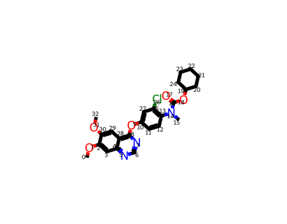 COc1cc2ncnc(Oc3ccc(N(C)C(=O)OC4CCCCC4)c(Cl)c3)c2cc1OC